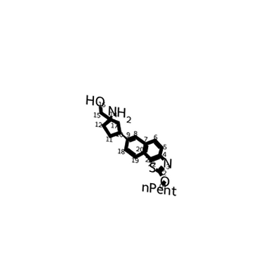 CCCCCOc1nc2ccc3cc([C@H]4CC[C@](N)(CO)C4)ccc3c2s1